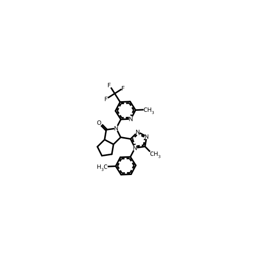 Cc1cccc(-n2c(C)nnc2C2C3CCCC3C(=O)N2c2cc(C(F)(F)F)cc(C)n2)c1